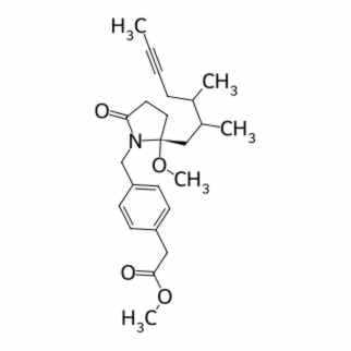 CC#CCC(C)C(C)C[C@]1(OC)CCC(=O)N1Cc1ccc(CC(=O)OC)cc1